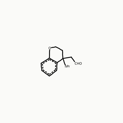 CCCC1(CC=O)CCOc2ccccc21